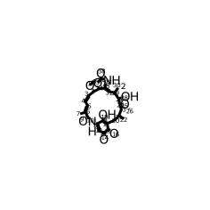 COC1/C=C\C=C(/C)C(=O)NC2=CC(=O)C(=O)C(=C2O)CC(C)CC(OC)C(O)C(C)/C=C(\C)C1OC(N)=O